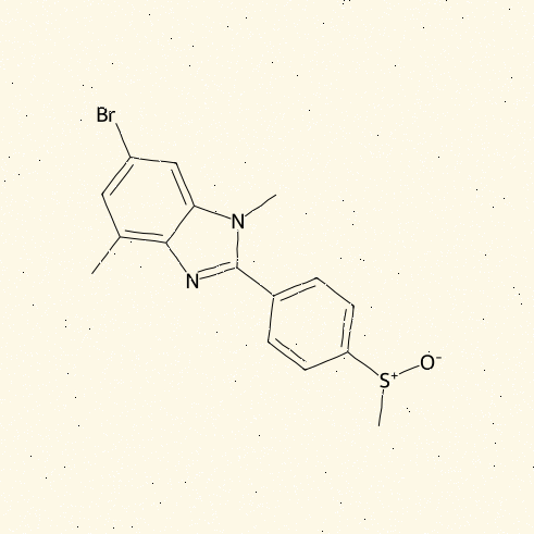 Cc1cc(Br)cc2c1nc(-c1ccc([S+](C)[O-])cc1)n2C